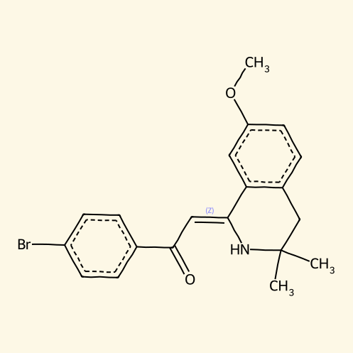 COc1ccc2c(c1)/C(=C/C(=O)c1ccc(Br)cc1)NC(C)(C)C2